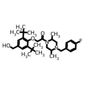 CC1CN(C(=O)COc2c(C(C)(C)C)cc(CO)cc2C(C)(C)C)C(C)CN1Cc1ccc(F)cc1